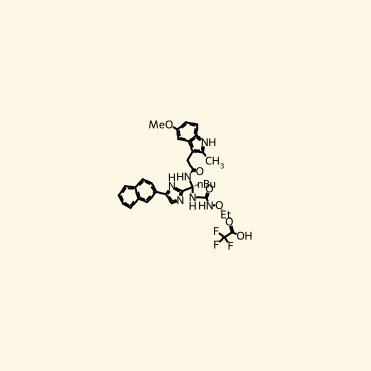 CCCC[C@](NC(=O)Cc1c(C)[nH]c2ccc(OC)cc12)(NC(=O)NOCC)c1ncc(-c2ccc3ccccc3c2)[nH]1.O=C(O)C(F)(F)F